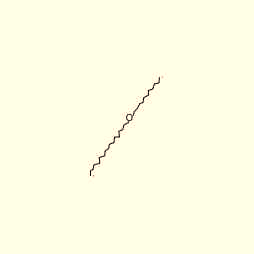 [CH2]CCCCCCCCCCCCCCCCOCCCCCCCCCCC[CH2]